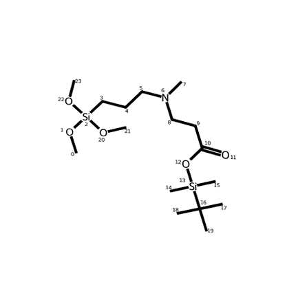 CO[Si](CCCN(C)CCC(=O)O[Si](C)(C)C(C)(C)C)(OC)OC